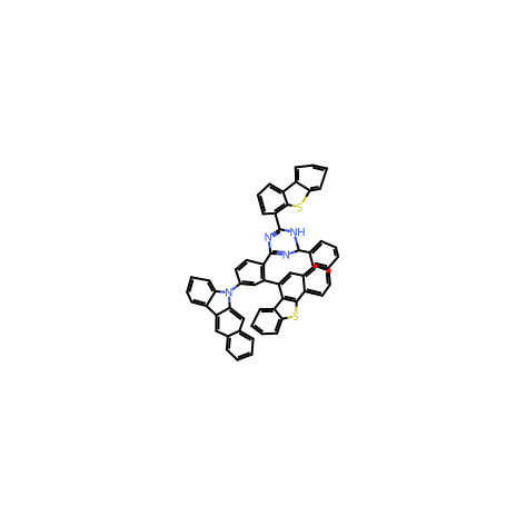 c1ccc(C2N=C(c3ccc(-n4c5ccccc5c5cc6ccccc6cc54)cc3-c3cc4ccccc4c4sc5ccccc5c34)N=C(c3cccc4c3sc3ccccc34)N2)cc1